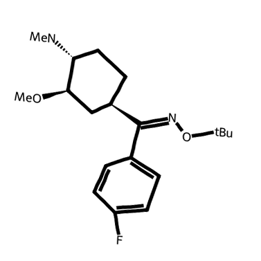 CN[C@@H]1CC[C@@H](/C(=N/OC(C)(C)C)c2ccc(F)cc2)C[C@H]1OC